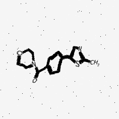 Cc1ncc(-c2ccc(C(=O)N3CCOCC3)cc2)s1